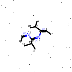 C\C=N/C(=N\C(=C/C)C(C)C)C(C)C